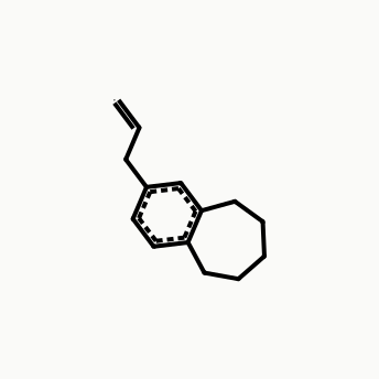 [CH]=CCc1ccc2c(c1)CCCCC2